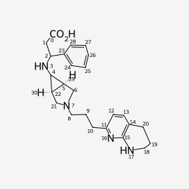 O=C(O)CC(NC1[C@H]2CN(CCCc3ccc4c(n3)NCCC4)C[C@@H]12)c1ccccc1